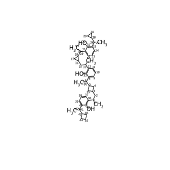 CC(CC1CC([C@@H](C)c2cccc(C(C)CC3CC3[C@H](C)c3cccc(C(C)C4CC4)c3O)c2O)C1)c1cccc([C@@H](C)C2CCC2)c1O